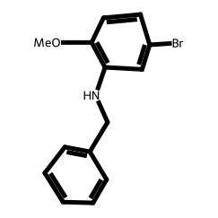 COc1ccc(Br)cc1NCc1ccccc1